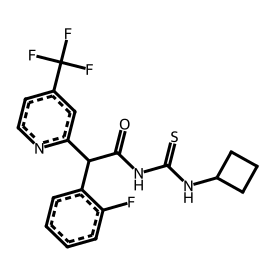 O=C(NC(=S)NC1CCC1)C(c1cc(C(F)(F)F)ccn1)c1ccccc1F